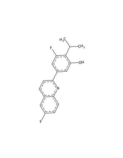 CC(C)c1c(O)cc(-c2ccc3cc(F)ccc3n2)cc1F